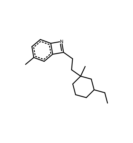 CCC1CCCC(C)(CCC2=Nc3ccc(C)cc32)C1